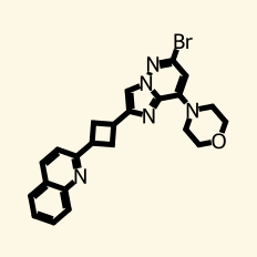 Brc1cc(N2CCOCC2)c2nc(C3CC(c4ccc5ccccc5n4)C3)cn2n1